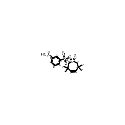 CC1(C)C#CC(C)(C)CS(=O)(=NS(=O)(=O)c2cccc(C(=O)O)c2)C1